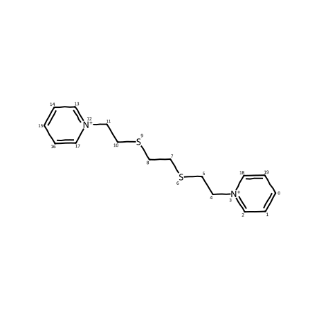 c1cc[n+](CCSCCSCC[n+]2ccccc2)cc1